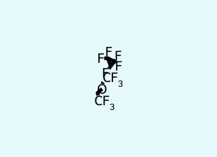 FC(F)(F)COCC(F)(F)F.FC1C(F)(F)C1(F)F